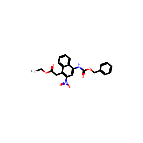 CCOC(=O)Cc1c([N+](=O)[O-])cc(NC(=O)OCc2ccccc2)c2ccccc12